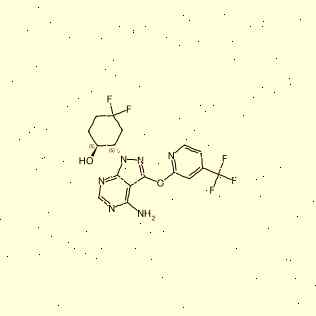 Nc1ncnc2c1c(Oc1cc(C(F)(F)F)ccn1)nn2[C@H]1CC(F)(F)CC[C@@H]1O